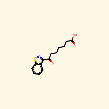 O=C(O)CCCCCC(=O)c1nsc2ccccc12